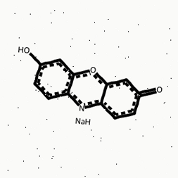 O=c1ccc2nc3ccc(O)cc3oc-2c1.[NaH]